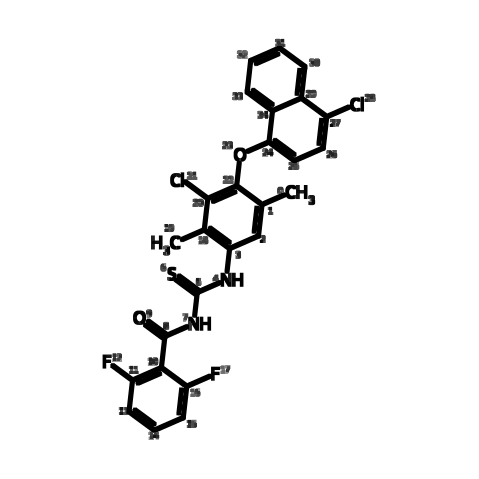 Cc1cc(NC(=S)NC(=O)c2c(F)cccc2F)c(C)c(Cl)c1Oc1ccc(Cl)c2ccccc12